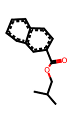 CC(C)COC(=O)c1ccc2ccccc2c1